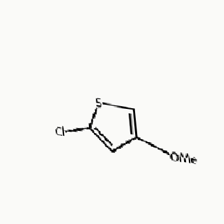 COc1csc(Cl)c1